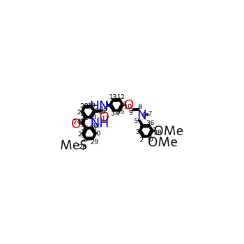 COc1ccc(CN(C)CCOc2ccc(NC(=O)c3cccc4c(=O)c5cc(SC)ccc5[nH]c34)cc2)cc1OC